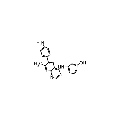 Cc1cc2ncnc(Nc3cccc(O)c3)c2cc1-c1ccc(N)cc1